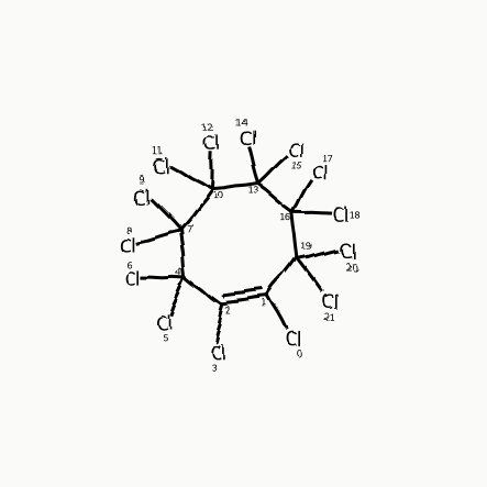 ClC1=C(Cl)C(Cl)(Cl)C(Cl)(Cl)C(Cl)(Cl)C(Cl)(Cl)C(Cl)(Cl)C1(Cl)Cl